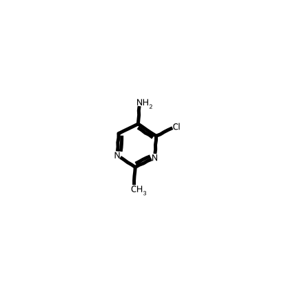 Cc1ncc(N)c(Cl)n1